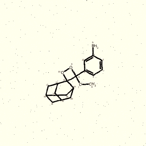 Bc1cccc(C2(OC)OOC23C2CC4CC(C2)CC3C4)c1